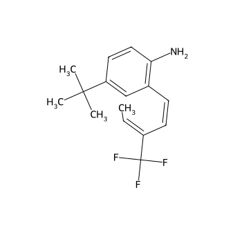 C/C=C(\C=C/c1cc(C(C)(C)C)ccc1N)C(F)(F)F